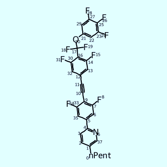 CCCCCc1ccc(-c2cc(F)c(C#Cc3cc(F)c(C(F)(F)Oc4cc(F)c(F)c(F)c4)c(F)c3)c(F)c2)nc1